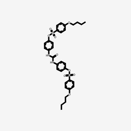 CCCCOc1ccc(S(=O)(=O)Oc2ccc(NC(=O)Nc3ccc(OS(=O)(=O)c4ccc(OCCCC)cc4)cc3)cc2)cc1